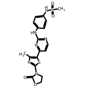 Cc1nc(N2CCOC2=O)sc1-c1ccnc(Nc2ccc(NS(C)(=O)=O)cc2)n1